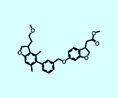 COCCC1COc2cc(C)c(-c3cccc(COc4ccc5c(c4)OCC5CC(=O)OC)c3)c(C)c21